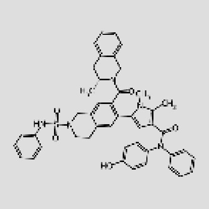 Cc1c(C(=O)N(c2ccccc2)c2ccc(O)cc2)cc(-c2cc3c(cc2C(=O)N2Cc4ccccc4C[C@H]2C)CN(S(=O)(=O)Nc2ccccc2)CC3)n1C